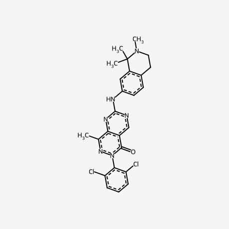 Cc1nn(-c2c(Cl)cccc2Cl)c(=O)c2cnc(Nc3ccc4c(c3)C(C)(C)N(C)CC4)nc12